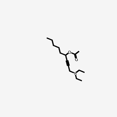 CCCCCC(C#CCN(CC)CC)OC(C)=O